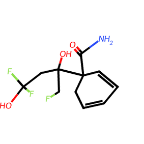 NC(=O)C1(C(O)(CF)CC(O)(F)F)C=CC=CC1